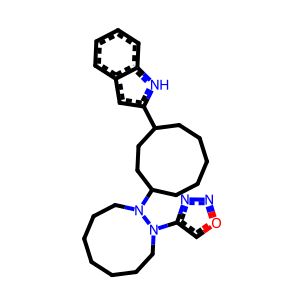 c1ccc2[nH]c(C3CCCCCC(N4CCCCCCCN4c4conn4)CC3)cc2c1